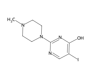 CN1CCN(c2ncc(I)c(O)n2)CC1